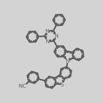 N#Cc1cccc(-c2ccc3sc4ccc(-n5c6ccccc6c6cc(-c7nc(-c8ccccc8)nc(-c8ccccc8)n7)ccc65)cc4c3c2)c1